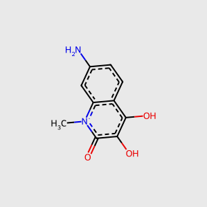 Cn1c(=O)c(O)c(O)c2ccc(N)cc21